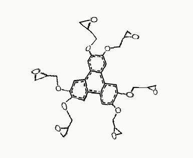 c1c(OCC2CO2)c(OCC2CO2)cc2c1c1cc(OCC3CO3)c(OCC3CO3)cc1c1cc(OCC3CO3)c(OCC3CO3)cc21